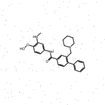 CNc1cc(NC(=O)c2ccc(-c3ccccc3)c(CN3CCCCC3)c2)ccc1OO